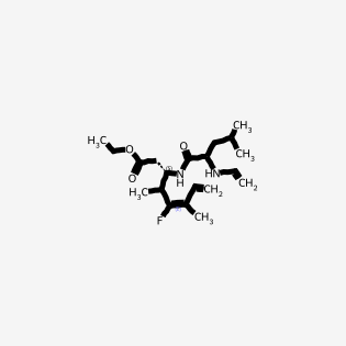 C=CNC(CC(C)C)C(=O)N[C@@H](CC(=O)OCC)C(C)/C(F)=C(/C)C=C